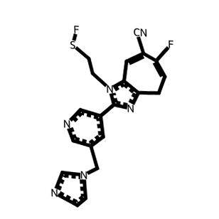 N#CC1=Cc2c(nc(-c3cncc(Cn4ccnc4)c3)n2CCSF)CC=C1F